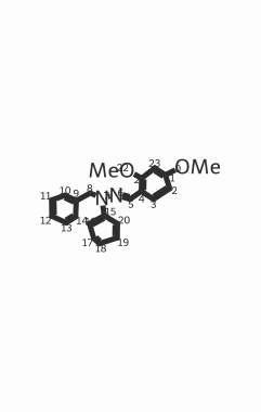 COc1ccc(C=NN(Cc2ccccc2)c2ccccc2)c(OC)c1